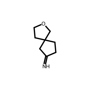 N=C1CCC2(CCOC2)C1